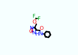 O=C(Nc1ccccc1)c1nonc1COC(F)F